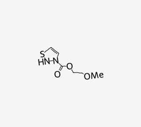 COCCOC(=O)N1C=CSN1